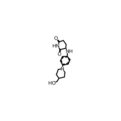 O=C1CCC(Nc2ccc(N3CCC(CO)CC3)cc2)C(=O)N1